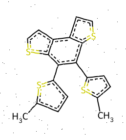 Cc1ccc(-c2c(-c3ccc(C)s3)c3sccc3c3ccsc23)s1